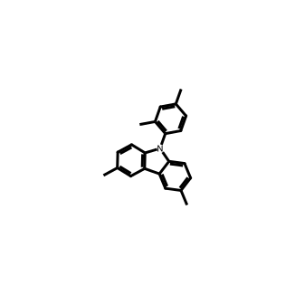 Cc1ccc(-n2c3ccc(C)cc3c3cc(C)ccc32)c(C)c1